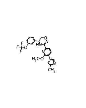 COc1nc(C2=NOCC(c3cccc(OC(F)(F)F)c3)N2)ccc1-n1cnc(C)c1